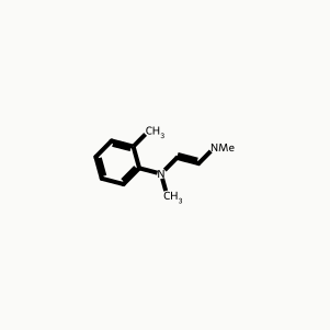 CN/C=C/N(C)c1ccccc1C